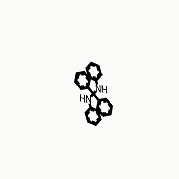 c1ccc(NC(Nc2ccccc2)(c2ccccc2)c2ccccc2)cc1